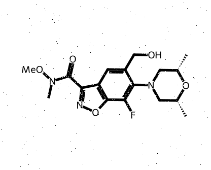 CON(C)C(=O)c1noc2c(F)c(N3C[C@@H](C)O[C@@H](C)C3)c(CO)cc12